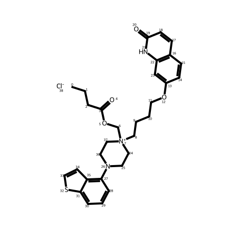 CCCC(=O)OC[N+]1(CCCCOc2ccc3ccc(=O)[nH]c3c2)CCN(c2cccc3sccc23)CC1.[Cl-]